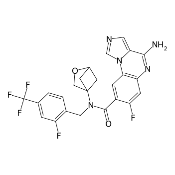 Nc1nc2cc(F)c(C(=O)N(Cc3ccc(C(F)(F)F)cc3F)C34COC(C3)C4)cc2n2cncc12